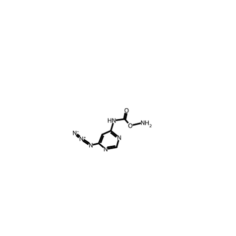 [N-]=[N+]=Nc1cc(NC(=O)ON)ncn1